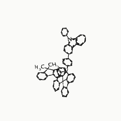 CC1(C)c2ccccc2-c2ccc(N(c3ccc(-c4ccc5c(c4)c4ccccc4n5-c4ccccc4)cc3)c3cccc4c3C3(c5ccccc5-c5ccccc53)c3ccccc3-4)cc21